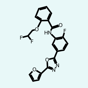 O=C(Nc1cc(-c2nnc(-c3ccco3)o2)ccc1F)c1ccccc1OCC(F)F